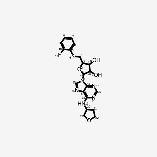 OC1C(CSc2ccccc2F)OC(n2cnc3c(NC4CCOC4)ncnc32)C1O